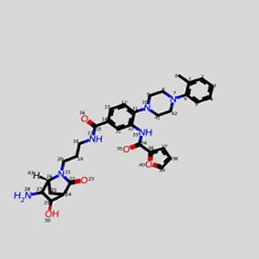 Cc1ccccc1N1CCN(c2ccc(C(=O)NCCCN3C(=O)C4C[C@@H]3C(N)C4O)cc2NC(=O)c2ccco2)CC1